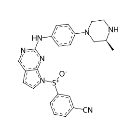 C[C@H]1CN(c2ccc(Nc3ncc4ccn([S+]([O-])c5cccc(C#N)c5)c4n3)cc2)CCN1